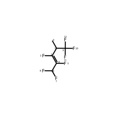 CC(C(F)=C(F)[C](F)F)C(F)(F)F